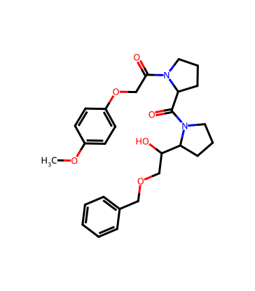 COc1ccc(OCC(=O)N2CCCC2C(=O)N2CCCC2C(O)COCc2ccccc2)cc1